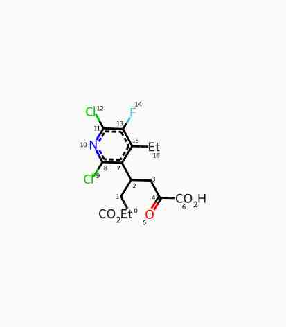 CCOC(=O)CC(CC(=O)C(=O)O)c1c(Cl)nc(Cl)c(F)c1CC